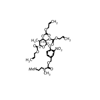 C=CCOC(=O)O[C@H]1[C@H](Oc2ccc(COC(=O)N(C)CCNC)cc2[N+](=O)[O-])O[C@H](C(=O)OCC=C)[C@@H](C)[C@@H]1OC(=O)OCC=C